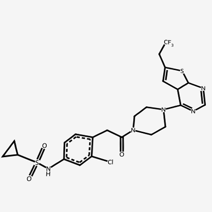 O=C(Cc1ccc(NS(=O)(=O)C2CC2)cc1Cl)N1CCN(C2=NC=NC3SC(CC(F)(F)F)=CC23)CC1